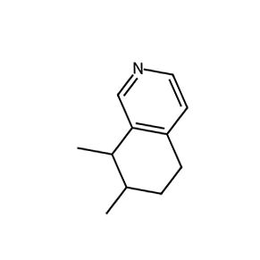 CC1CCc2ccncc2C1C